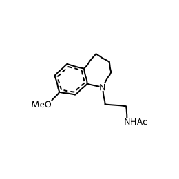 COc1ccc2c(c1)N(CCNC(C)=O)CCC2